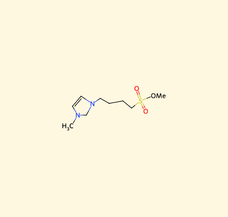 COS(=O)(=O)CCCCN1C=CN(C)C1